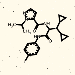 CC(C)n1nccc1C(=O)NC(C(=O)Nc1ccc(I)cc1)C(C1CC1)C1CC1